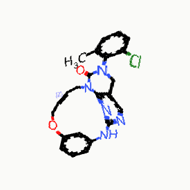 Cc1cccc(Cl)c1N1Cc2cnc3nc2N(C/C=C\COc2cccc(c2)N3)C1=O